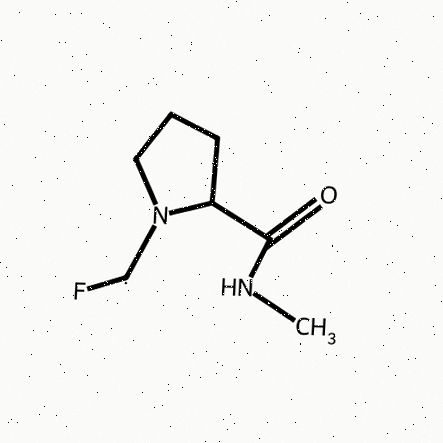 CNC(=O)C1CCCN1[CH]F